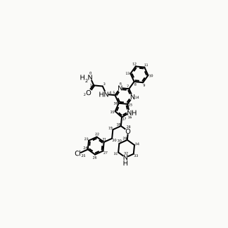 NC(=O)CNc1nc(-c2ccccc2)nc2[nH]c(C(CCc3ccc(Cl)cc3)OC3CCNCC3)cc12